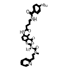 CCCCc1ccc(C(=O)NCCCC(=O)Nc2ccc3nc(N(CC)C(=O)N(C)CCc4ccccn4)oc(=O)c3c2C)cc1